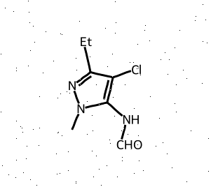 CCc1nn(C)c(NC=O)c1Cl